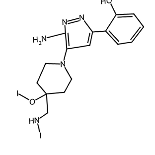 Nc1nnc(-c2ccccc2O)cc1N1CCC(CNI)(OI)CC1